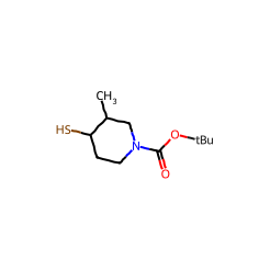 CC1CN(C(=O)OC(C)(C)C)CCC1S